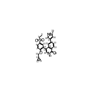 CCS(=O)(=O)c1ccc(OCC2CC2)c(-c2cn(C)c(=O)c3ccc(-c4cnn(C)c4)cc23)c1